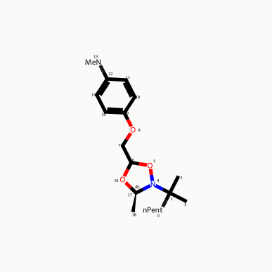 CCCCCC(C)(C)N1OC(COc2ccc(NC)cc2)O[C@@H]1C